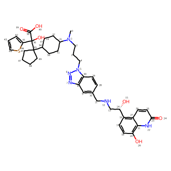 CN(CCCn1nnc2cc(CNC[C@H](O)c3ccc(O)c4[nH]c(=O)ccc34)ccc21)C1CCC(C2(C(O)(C(=O)O)c3cccs3)CCCC2)CC1